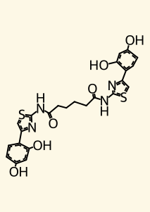 O=C(CCCCC(=O)Nc1nc(-c2ccc(O)cc2O)cs1)Nc1nc(-c2ccc(O)cc2O)cs1